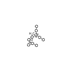 C=C1C(c2ccc(-c3ccccc3)cc2)=NC(c2ccc(-c3ccccc3)cc2)=NC1c1ccc2c(c1)oc1c(-n3c4ccccc4c4cc(-c5ccccc5)ccc43)cccc12